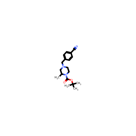 CC1CN(Cc2ccc(C#N)cc2)CCN1C(=O)OC(C)(C)C